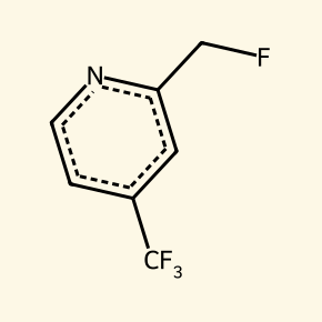 FCc1cc(C(F)(F)F)ccn1